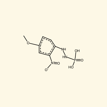 COc1ccc(NNP(=O)(O)O)c([N+](=O)[O-])c1